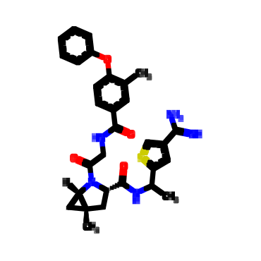 Cc1cc(C(=O)NCC(=O)N2[C@H]3C[C@@]3(C)C[C@H]2C(=O)NC(C)c2cc(C(=N)N)cs2)ccc1Oc1ccccc1